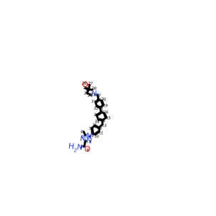 Cc1nc(C(N)=O)nn1-c1ccc(Cc2ccc(-c3ccc(CN4CCC5(COC5)C4)cc3)cc2)cc1